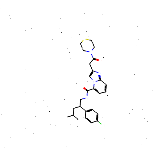 CC(C)CC(CNC(=O)c1cccc2nc(CC(=O)N3CCSCC3)cn12)c1ccc(Cl)cc1